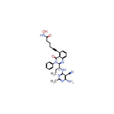 CC[C@H](Nc1nc(C)nc(N)c1C#N)c1nc2cccc(C#CCCCC(=O)NO)c2c(=O)n1-c1ccccc1